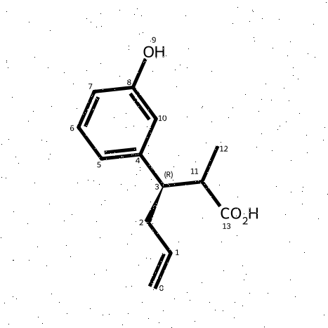 C=CC[C@@H](c1cccc(O)c1)C(C)C(=O)O